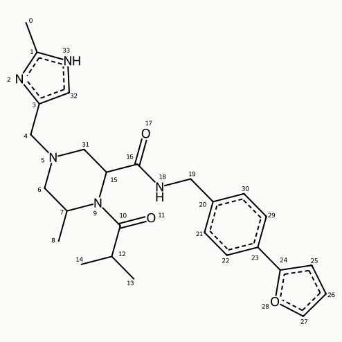 Cc1nc(CN2CC(C)N(C(=O)C(C)C)C(C(=O)NCc3ccc(-c4ccco4)cc3)C2)c[nH]1